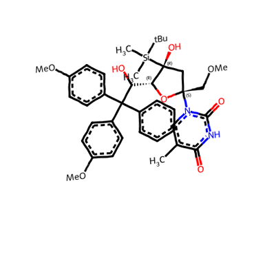 COC[C@]1(n2cc(C)c(=O)[nH]c2=O)C[C@@](O)([Si](C)(C)C(C)(C)C)[C@@H](C(O)C(c2ccccc2)(c2ccc(OC)cc2)c2ccc(OC)cc2)O1